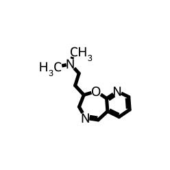 CN(C)CCC1CN=Cc2cccnc2O1